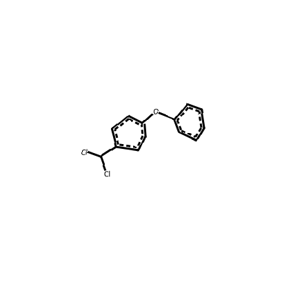 ClC(Cl)c1ccc(Oc2ccccc2)cc1